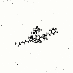 COc1cc(-n2cc(CCCCN)nn2)ccc1-c1nc(CCc2ccccc2)cs1.O=C(O)C(F)(F)F